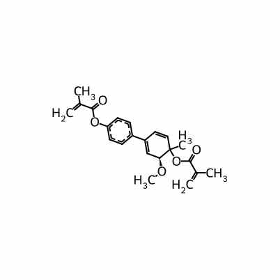 C=C(C)C(=O)Oc1ccc(C2=C[C@H](OC)C(C)(OC(=O)C(=C)C)C=C2)cc1